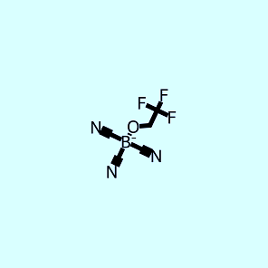 N#C[B-](C#N)(C#N)OCC(F)(F)F